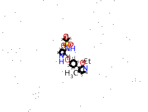 CCOc1nccc(C)c1[C@H]1CC[C@@H](OC[C@@H]2NCC[C@@H]2NS(=O)(=O)C2COC2)CC1